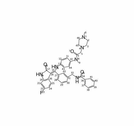 CN1CCN(CC(=O)N(C)c2ccc(N/C(=C3\C(=O)Nc4cc(F)ccc43)c3cccc(CNC(=O)c4ccccc4)c3)cc2)CC1